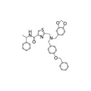 CC(NC(=O)c1csc(CN(Cc2ccc(OCc3ccccc3)cc2)Cc2ccc3c(c2)OCO3)n1)c1ccccc1